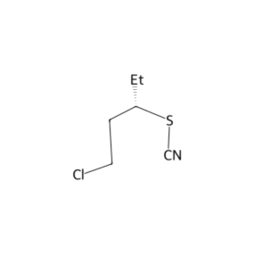 CC[C@@H](CCCl)SC#N